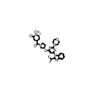 CN1CCC(C(=O)N2CC[C@H](Oc3cc(-n4c(C(F)F)nc5ccccc54)nc(N4CCOCC4)n3)C2)CC1=O